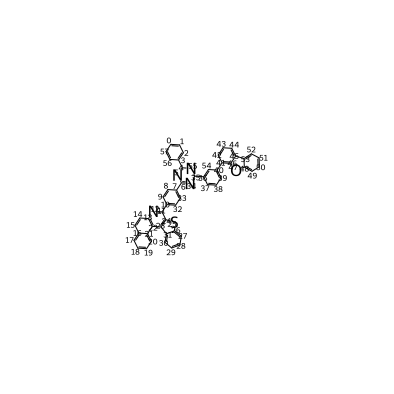 c1ccc(-c2nc(-c3ccc(-c4nc5ccc6ccccc6c5c5c4sc4ccccc45)cc3)nc(-c3cccc(-c4cccc5c4oc4ccccc45)c3)n2)cc1